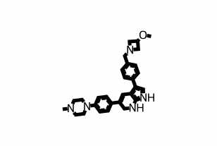 COC1CN(Cc2ccc(-c3c[nH]c4c3C=C(c3ccc(N5CCN(C)CC5)cc3)CN4)cc2)C1